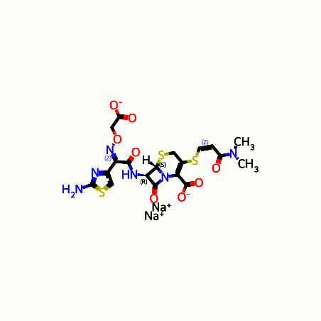 CN(C)C(=O)/C=C\SC1=C(C(=O)[O-])N2C(=O)[C@@H](NC(=O)/C(=N\OCC(=O)[O-])c3csc(N)n3)[C@@H]2SC1.[Na+].[Na+]